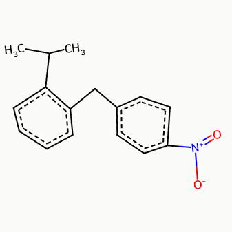 CC(C)c1ccccc1Cc1ccc([N+](=O)[O-])cc1